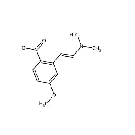 COc1ccc([N+](=O)[O-])c(/C=C/N(C)C)c1